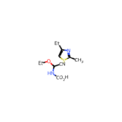 CCOC(C#N)NC(=O)O.CCc1csc(C)n1